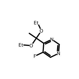 CCOC(C)(OCC)c1ncncc1F